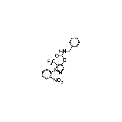 O=C(NCc1ccccc1)Oc1cnn(-c2ccccc2[N+](=O)[O-])c1C(F)(F)F